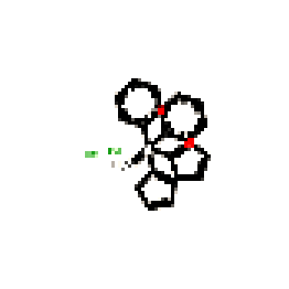 Br.Br.[SiH2]=[Zr]([C]1=CC=CC1)([C]1=CC=CC1)([c]1ccccc1)[c]1ccccc1